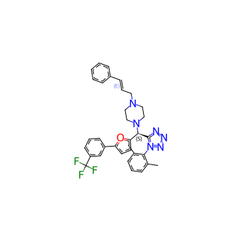 Cc1cccc(C)c1-n1nnnc1[C@@H](c1ccc(-c2cccc(C(F)(F)F)c2)o1)N1CCN(C/C=C/c2ccccc2)CC1